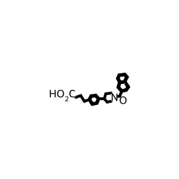 O=C(O)CCCc1ccc(C2CCN(C(=O)c3ccc4ccccc4c3)CC2)cc1